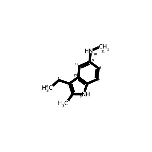 CCc1c(C)[nH]c2ccc(NC)cc12